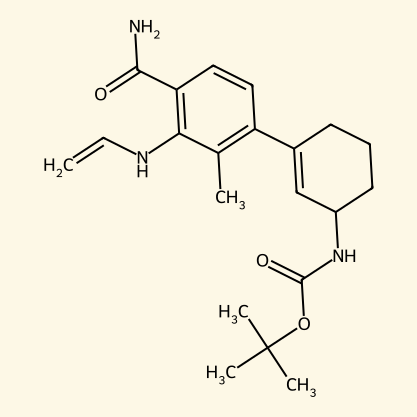 C=CNc1c(C(N)=O)ccc(C2=CC(NC(=O)OC(C)(C)C)CCC2)c1C